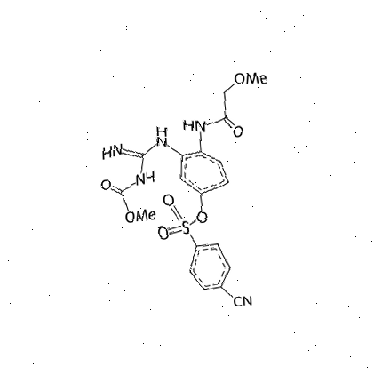 COCC(=O)Nc1ccc(OS(=O)(=O)c2ccc(C#N)cc2)cc1NC(=N)NC(=O)OC